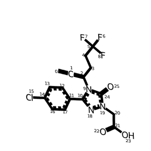 C=C=C(CCC(F)(F)F)n1c(-c2ccc(Cl)cc2)nn(CC(=O)O)c1=O